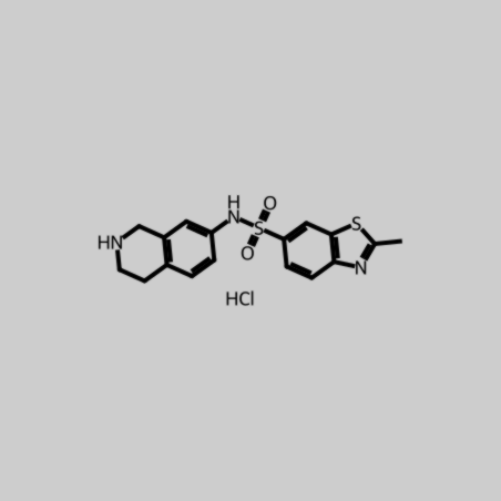 Cc1nc2ccc(S(=O)(=O)Nc3ccc4c(c3)CNCC4)cc2s1.Cl